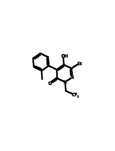 CCc1nn(CC(F)(F)F)c(=O)c(-c2ccccc2C)c1O